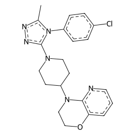 Cc1nnc(N2CCC(N3CCOc4cccnc43)CC2)n1-c1ccc(Cl)cc1